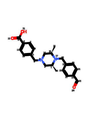 C[C@@H]1CN(Cc2ccc(C(=O)O)cc2)C[C@H](C)N1Cc1ccc(C=O)cc1